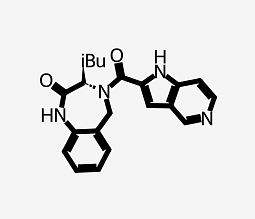 CC[C@H](C)[C@H]1C(=O)Nc2ccccc2CN1C(=O)c1cc2cnccc2[nH]1